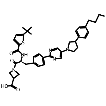 CCCCc1ccc(C2CCN(c3cnc(-c4ccc(C[C@H](NC(=O)c5ccc(C(C)(C)C)s5)C(=O)N5CC(C(=O)O)C5)cc4)nc3)C2)cc1